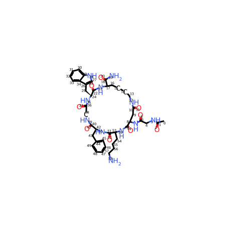 CC(=O)NCC(=O)NC1CC(=O)NCCCCC(C(N)=O)NC(=O)[C@H](Cc2c[nH]c3ccccc23)NC(=O)CNC(=O)C(Cc2ccccc2)NC(=O)C(CCCCN)NC1=O